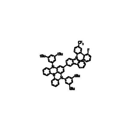 CC(C)(C)c1cc(N2c3ccccc3B3c4ccccc4N(c4cc(C(C)(C)C)cc(C(C)(C)C)c4)c4cc(-c5ccc6c(c5)c5ccccc5n6-c5ccc(C(F)(F)F)cc5-c5c(F)cccc5F)cc2c43)cc(C(C)(C)C)c1